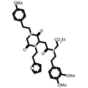 CCOC(=O)CN(CCc1ccc(OC)c(OC)c1)C(=O)CC1C(=O)N(CCc2ccc(OC)cc2)CC(=O)N1CCc1cccs1